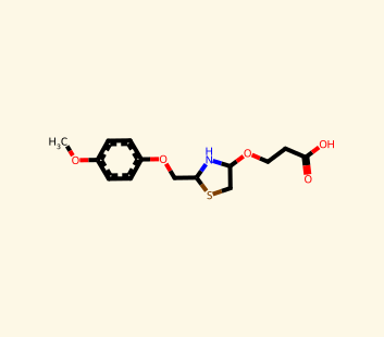 COc1ccc(OCC2NC(OCCC(=O)O)CS2)cc1